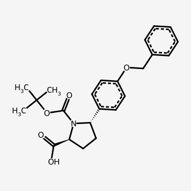 CC(C)(C)OC(=O)N1[C@H](C(=O)O)CC[C@H]1c1ccc(OCc2ccccc2)cc1